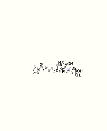 CCCC[C@](C)(O)C/C=C/[C@@H]1[C@H]2CC(CCCCCC(=O)N3CCCC3)=C[C@H]2C[C@H]1O